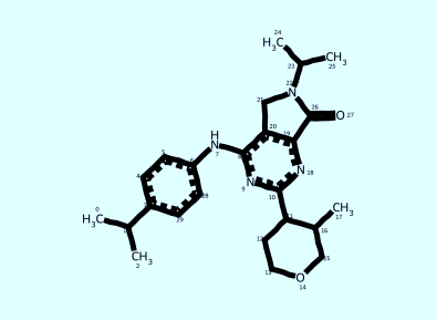 CC(C)c1ccc(Nc2nc(C3CCOCC3C)nc3c2CN(C(C)C)C3=O)cc1